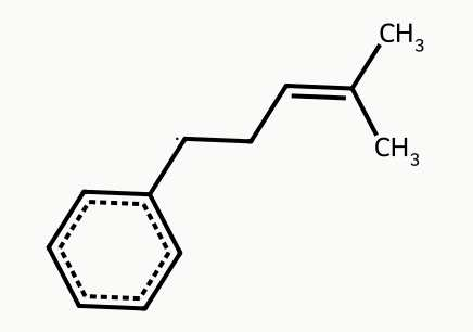 CC(C)=CC[CH]c1ccccc1